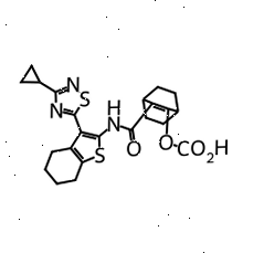 O=C(O)OC1=C(C(=O)Nc2sc3c(c2-c2nc(C4CC4)ns2)CCCC3)C2CCC1CC2